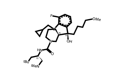 CNC[C@H](CC(C)(C)C)NC(=O)N1CCC[C@@H]([C@@](O)(CCCCOC)c2cccc(F)c2OCC2CC2)C1